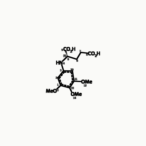 COc1cc(N[C@@H](CCC(=O)O)C(=O)O)cc(OC)c1OC